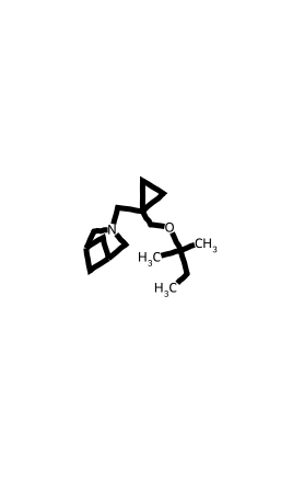 CCC(C)(C)OCC1(CN2CC3CC(C3)C2)CC1